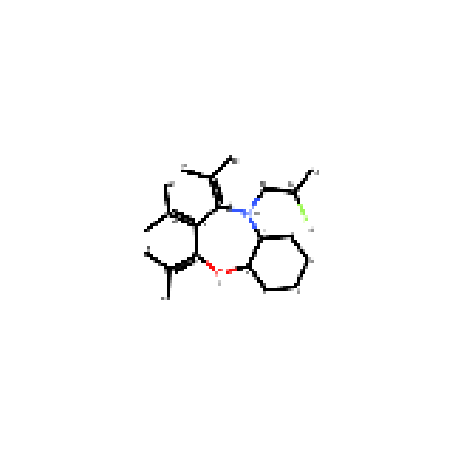 CC(C)=C1OC2CCCCC2N(CC(C)F)C(=C(C)C)C1=C(C)C